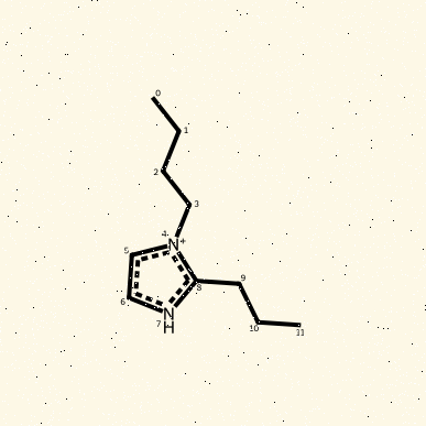 CCCC[n+]1cc[nH]c1CCC